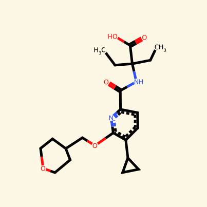 CCC(CC)(NC(=O)c1ccc(C2CC2)c(OCC2CCOCC2)n1)C(=O)O